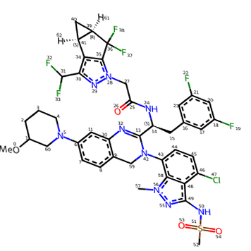 COC1CCCN(c2ccc3c(c2)N=C([C@H](Cc2cc(F)cc(F)c2)NC(=O)Cn2nc(C(F)F)c4c2C(F)(F)[C@@H]2C[C@H]42)N(c2ccc(Cl)c4c(NS(C)(=O)=O)nn(C)c24)C3)C1